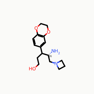 N[C@H](CN1CCC1)C(CCO)c1ccc2c(c1)OCCO2